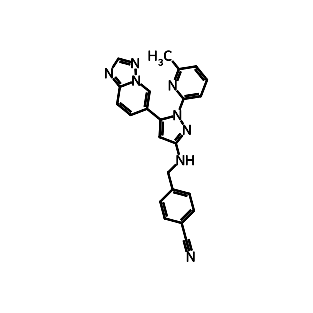 Cc1cccc(-n2nc(NCc3ccc(C#N)cc3)cc2-c2ccc3ncnn3c2)n1